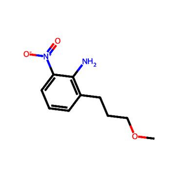 COCCCc1cccc([N+](=O)[O-])c1N